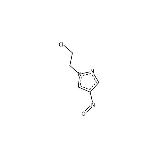 O=Nc1cnn(CCCl)c1